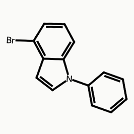 Brc1cccc2c1ccn2-c1ccccc1